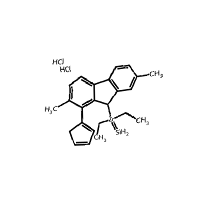 C[CH2][Zr](=[SiH2])([CH2]C)[CH]1c2cc(C)ccc2-c2ccc(C)c(C3=CC=CC3)c21.Cl.Cl